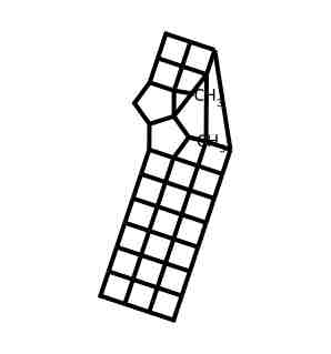 CC12C3CC4C5C6C7C8C9C%10CC%11C%12CC%13C%14C%15C%16C%17C%18C%19C%20C%21CC3C%211C%201C42C2(C)C%191C%181C52C62C%171C%161C%153C%144C%12%13C%11%10C94C83C721